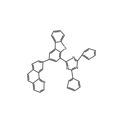 c1ccc(-c2nc(-c3ccccc3)nc(-c3cc(-c4ccc5ccc6cccnc6c5c4)cc4c3sc3ccccc34)n2)cc1